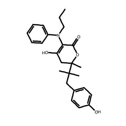 CCCN(C1=C(O)CC(C)(C(C)(C)Cc2ccc(O)cc2)OC1=O)c1ccccc1